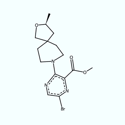 COC(=O)c1nc(Br)cnc1N1CCC2(CC1)CO[C@@H](C)C2